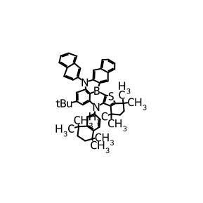 CC(C)(C)c1cc2c3c(c1)N(c1ccc4c(c1)C(C)(C)CCC4(C)C)c1c(sc4c1C(C)(C)CCC4(C)C)B3c1cc3ccccc3cc1N2c1ccc2ccccc2c1